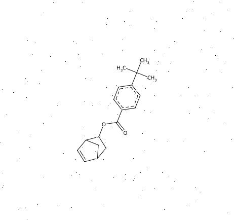 CC(C)(C)c1ccc(C(=O)OC2CC3C=CC2C3)cc1